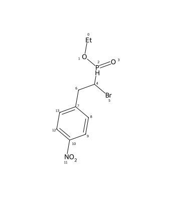 CCO[PH](=O)C(Br)Cc1ccc([N+](=O)[O-])cc1